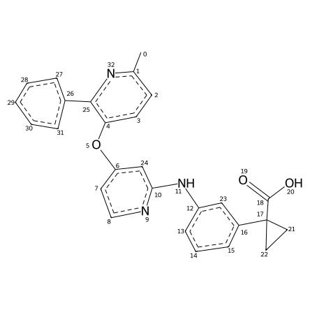 Cc1ccc(Oc2ccnc(Nc3cccc(C4(C(=O)O)CC4)c3)c2)c(-c2ccccc2)n1